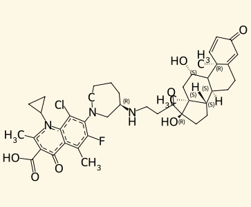 Cc1c(F)c(N2CCCC[C@@H](NCCC(=O)[C@@]3(O)CC[C@H]4[C@@H]5CCC6=CC(=O)C=C[C@]6(C)C5[C@@H](O)C[C@@]43C)C2)c(Cl)c2c1c(=O)c(C(=O)O)c(C)n2C1CC1